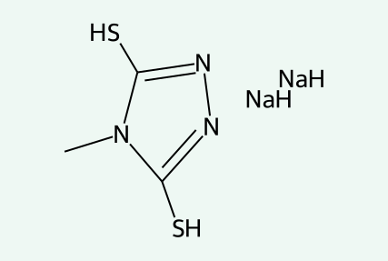 Cn1c(S)nnc1S.[NaH].[NaH]